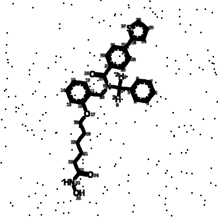 [2H]C([2H])(c1ccccc1)N(Cc1ccccc1OCCCCCC(=O)NO)C(=O)c1ccc(-c2cccs2)cc1